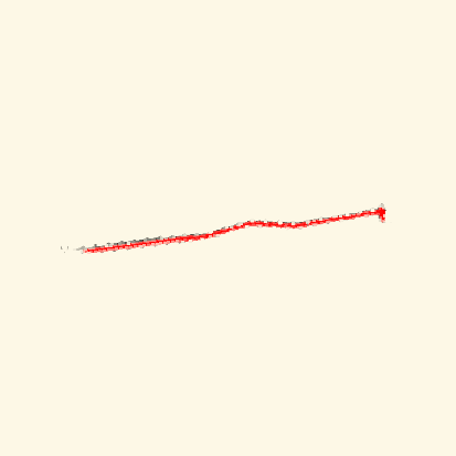 CCOC(=S)SC(C)C(=O)OCCOCCOCCOCCOCCOCCOCCOCCOCCOCCOCCOCCOCCOCCOCCOCCOCCOCCOCCOCCOCCOCCOCCOCCOCCOCCOCCOCCOCCOCCOCCOCCOCCOCCOCCOCCOCCOCCOCCOCCOCCOCCOCCOCCOCCOC